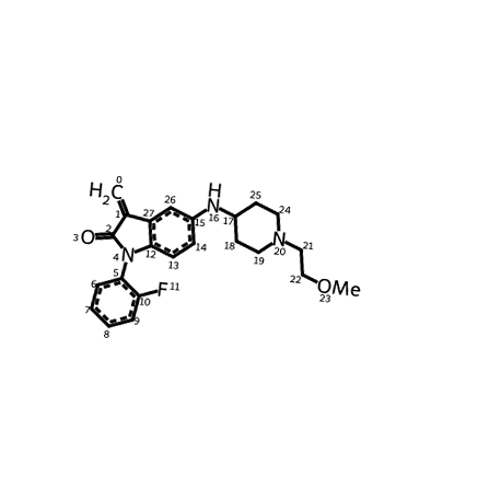 C=C1C(=O)N(c2ccccc2F)c2ccc(NC3CCN(CCOC)CC3)cc21